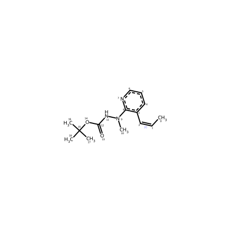 C/C=C\c1cccnc1N(C)NC(=O)OC(C)(C)C